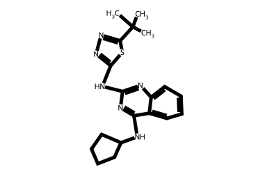 CC(C)(C)c1nnc(Nc2nc(NC3CCCC3)c3ccccc3n2)s1